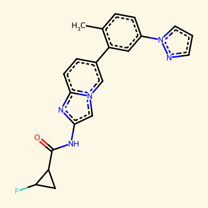 Cc1ccc(-n2cccn2)cc1-c1ccc2nc(NC(=O)C3CC3F)cn2c1